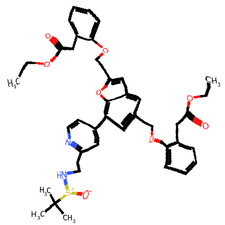 CCOC(=O)Cc1ccccc1OCc1cc(-c2ccnc(CN[S+]([O-])C(C)(C)C)c2)c2oc(COc3ccccc3CC(=O)OCC)cc2c1